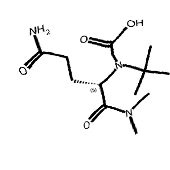 CN(C)C(=O)[C@H](CCC(N)=O)N(C(=O)O)C(C)(C)C